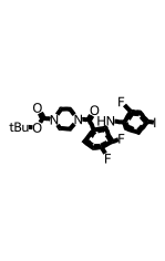 CC(C)(C)OC(=O)N1CCN(C(=O)c2ccc(F)c(F)c2Nc2ccc(I)cc2F)CC1